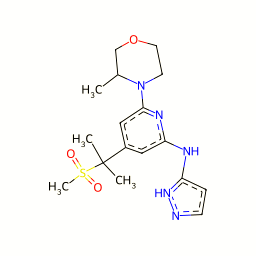 CC1COCCN1c1cc(C(C)(C)S(C)(=O)=O)cc(Nc2ccn[nH]2)n1